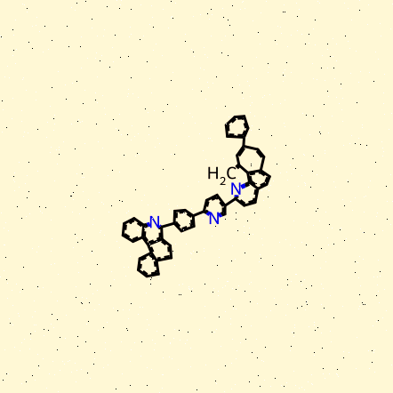 C=C1C=C(c2ccccc2)C=Cc2ccc3ccc(-c4ccc(-c5ccc(-c6nc7ccccc7c7c6ccc6ccccc67)cc5)nc4)nc3c21